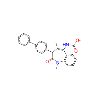 COC(=O)NC1=C(C)C(c2ccc(-c3ccccc3)cc2)C(=O)N(C)c2ccccc21